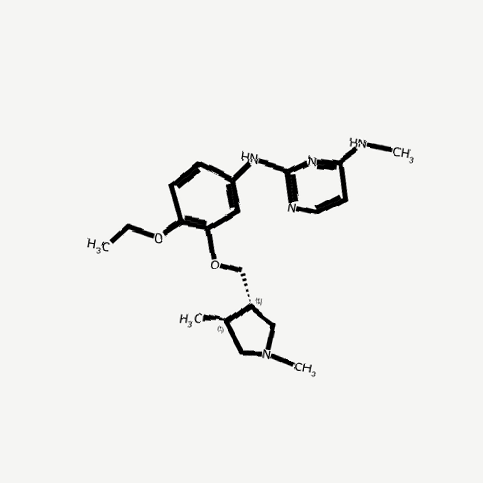 CCOc1ccc(Nc2nccc(NC)n2)cc1OC[C@@H]1CN(C)C[C@H]1C